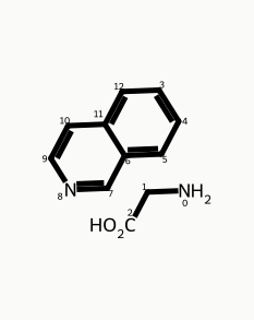 NCC(=O)O.c1ccc2cnccc2c1